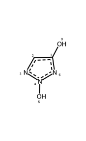 Oc1cnn(O)n1